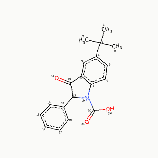 CC(C)(C)c1ccc2c(c1)C(=O)C(c1ccccc1)N2C(=O)O